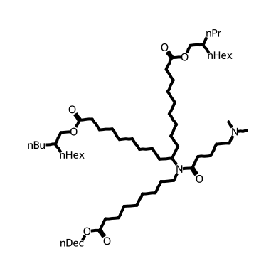 CCCCCCCCCCOC(=O)CCCCCCCCN(C(=O)CCCCN(C)C)C(CCCCCCCCC(=O)OCC(CCC)CCCCCC)CCCCCCCCC(=O)OCC(CCCC)CCCCCC